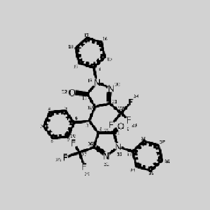 O=C1C(C(c2ccccc2)C2C(=O)N(c3ccccc3)N=C2C(F)(F)F)C(C(F)(F)F)=NN1c1ccccc1